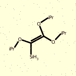 CC(C)OC([SiH3])=C(OC(C)C)OC(C)C